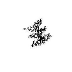 CCCC[C@H]1CC[C@@](C(=O)O)(c2ccc(SC(F)F)cc2)CC1.CCC[C@H]1CC[C@@](C(=O)O)(c2ccc(SC(F)F)cc2)CC1.CC[C@H]1CC[C@H](C(=O)Oc2ccc(SC(F)F)cc2)CC1